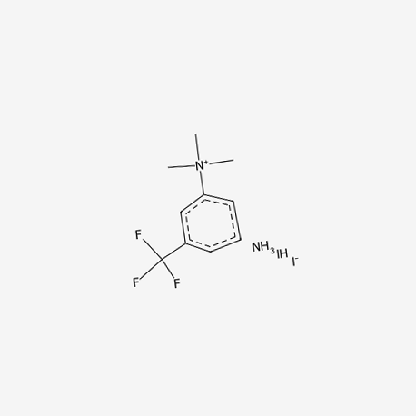 C[N+](C)(C)c1cccc(C(F)(F)F)c1.I.N.[I-]